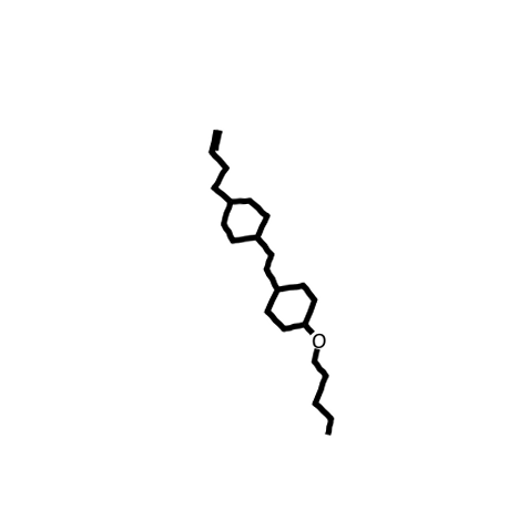 C=CCCC1CCC(CCC2CCC(OCCCCC)CC2)CC1